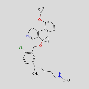 CC(CCCCNC=O)c1ccc(Cl)c(COC2(c3cnccc3-c3ccccc3OC3CC3)CC2)c1